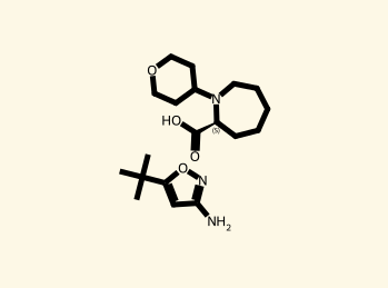 CC(C)(C)c1cc(N)no1.O=C(O)[C@@H]1CCCCCN1C1CCOCC1